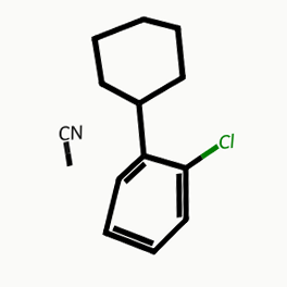 CC#N.Clc1ccccc1C1CCCCC1